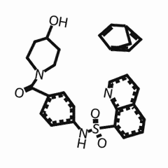 C1=CC2=CC=C1C2.O=C(c1ccc(NS(=O)(=O)c2cccc3cccnc23)cc1)N1CCC(O)CC1